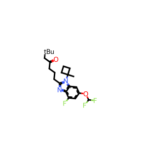 CC(C)(C)CC(=O)CCCc1nc2c(F)cc(OC(F)F)cc2n1C1(C)CCC1